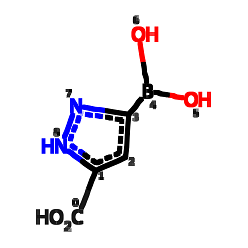 O=C(O)c1cc(B(O)O)n[nH]1